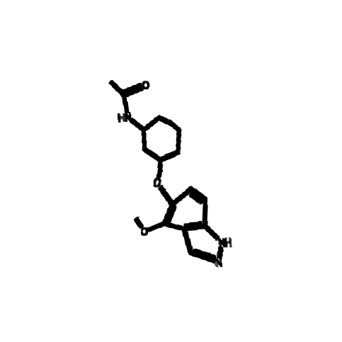 COc1c(OC2CCCC(NC(C)=O)C2)ccc2[nH]ncc12